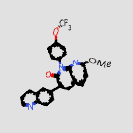 COc1ccc2cc(-c3ccc4ncccc4c3)c(=O)n(-c3ccc(OC(F)(F)F)cc3)c2n1